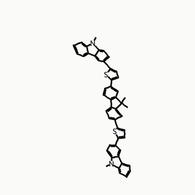 Cn1c2ccccc2c2cc(-c3ccc(-c4ccc5c(c4)C(C)(C)c4cc(-c6ccc(-c7ccc8c(c7)c7ccccc7n8C)s6)ccc4-5)s3)ccc21